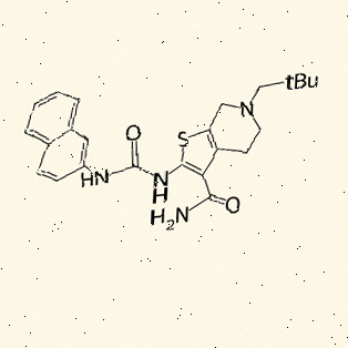 CC(C)(C)CN1CCc2c(sc(NC(=O)Nc3ccc4ccccc4c3)c2C(N)=O)C1